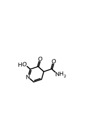 NC(=O)C1C=CN=C(O)C1=O